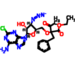 CCOC(=O)C(Cc1ccccc1)(OC[C@H]1O[C@@H](n2cnc3c(N)nc(Cl)nc32)[C@H](O)[C@H]1N=[N+]=[N-])C(C)=O